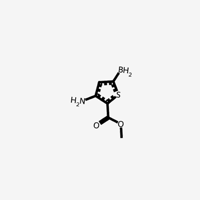 Bc1cc(N)c(C(=O)OC)s1